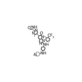 Cc1nc(C2=COCN2)ncc1-c1cc2cnc(Nc3ccc(NC4CCN(C)CC4)cc3)nc2n(Cc2ccccc2C(F)(F)F)c1=O